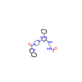 CC(=O)NCCNc1cc(N2CCN(C(=O)c3ccc4ccccc4n3)CC2)nc(-c2ccccc2)n1